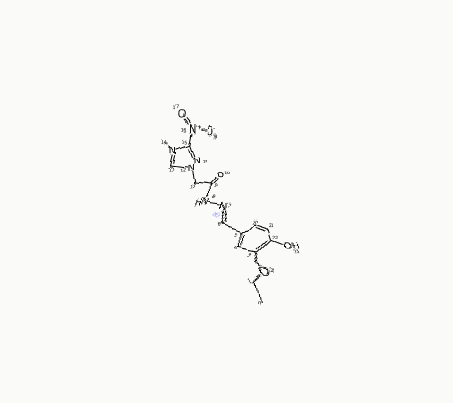 CCOc1cc(/C=N/NC(=O)Cn2cnc([N+](=O)[O-])n2)ccc1O